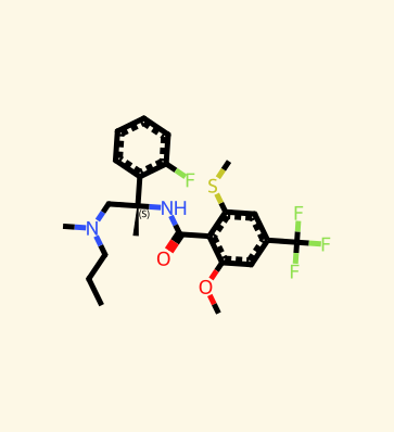 CCCN(C)C[C@@](C)(NC(=O)c1c(OC)cc(C(F)(F)F)cc1SC)c1ccccc1F